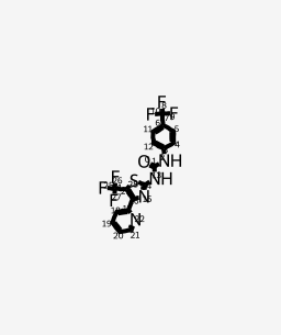 O=C(Nc1ccc(C(F)(F)F)cc1)Nc1nc(-c2ccccn2)c(C(F)(F)F)s1